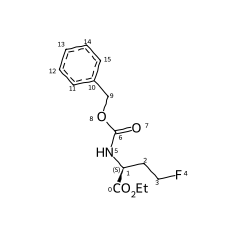 CCOC(=O)[C@H](CCF)NC(=O)OCc1ccccc1